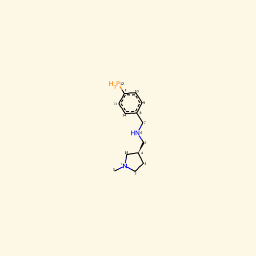 CN1CC[C@H](CNCc2ccc(P)cc2)C1